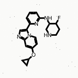 FC1CCNCC1Nc1cccc(-c2cnc3cc(OC4CC4)ccn23)n1